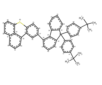 CC(C)(C)c1ccc(C2(c3ccc(C(C)(C)C)cc3)c3ccccc3-c3c(-c4ccc5c(c4)-c4cccc6cccc(c46)S5)cccc32)cc1